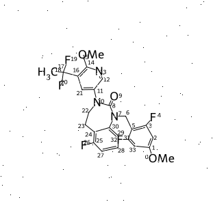 COc1cc(F)c(CN2C(=O)N(c3cnc(OC)c(C(C)(F)F)c3)CCc3c(F)cccc32)c(F)c1